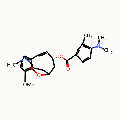 COc1ccc2c3c1OC(CCCN2C)C[C@@H](OC(=O)c1ccc(N(C)C)c(C)c1)/C=C\3